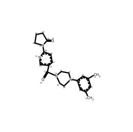 Cc1cc(C)cc(N2CCN(C(=O)c3ccc(N4CCCC4=O)nc3)CC2)c1